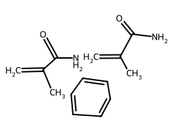 C=C(C)C(N)=O.C=C(C)C(N)=O.c1ccccc1